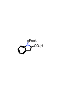 CCCCCN1c2ccccc2C[C@@H]1C(=O)O